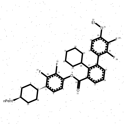 CCCCC[C@H]1CC[C@H](c2ccc(OC(=O)c3cccc(-c4ccc(OCC)c(F)c4F)c3C3CCCCC3)c(F)c2F)CC1